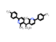 CCOC(=O)C(c1ccc(-c2ccc(C(F)(F)F)cc2)nc1C)c1ccc(-c2ccc(C(F)(F)F)cc2)nc1C